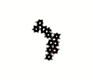 CC1(C)c2cc(-c3ccccc3-c3ccccc3)ccc2-c2ccc(N(c3ccc(-c4ccc(-c5ccccc5)cc4)cc3)c3ccccc3-c3ccc(-c4ccccc4)cc3)cc21